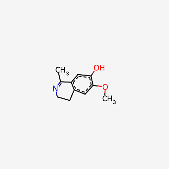 COc1cc2c(cc1O)C(C)=NCC2